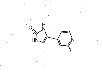 Cc1cc(-c2c[nH]c(=O)[nH]2)ccn1